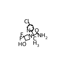 CC(C(N)=O)(c1ccc(Cl)cn1)N1C[C@H](O)C(F)(F)C1